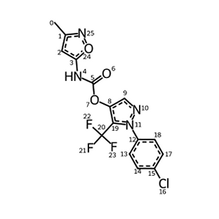 Cc1cc(NC(=O)Oc2cnn(-c3ccc(Cl)cc3)c2C(F)(F)F)on1